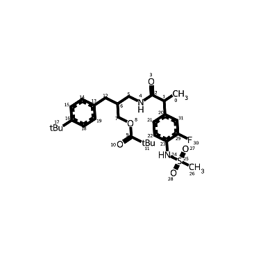 CC(C(=O)NCC(COC(=O)C(C)(C)C)Cc1ccc(C(C)(C)C)cc1)c1ccc(NS(C)(=O)=O)c(F)c1